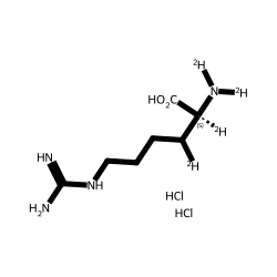 Cl.Cl.[2H]C(CCCNC(=N)N)[C@@]([2H])(C(=O)O)N([2H])[2H]